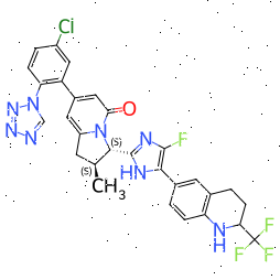 C[C@H]1Cc2cc(-c3cc(Cl)ccc3-n3cnnn3)cc(=O)n2[C@@H]1c1nc(F)c(-c2ccc3c(c2)CCC(C(F)(F)F)N3)[nH]1